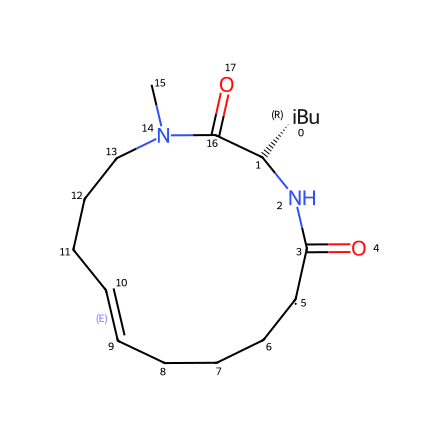 CC[C@@H](C)C1NC(=O)[CH]CCC/C=C/CCCN(C)C1=O